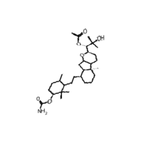 CC(=O)O[C@@H]([C@H]1CCC2C(CC3[C@H](CCC4C(C)CC[C@H](OC(N)=O)C4(C)C)CCC[C@]23C)O1)C(C)(C)O